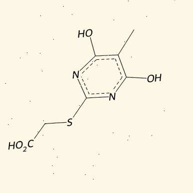 Cc1c(O)nc(SCC(=O)O)nc1O